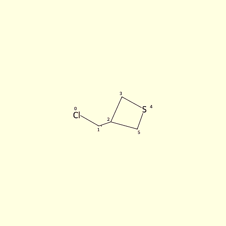 Cl[CH]C1CSC1